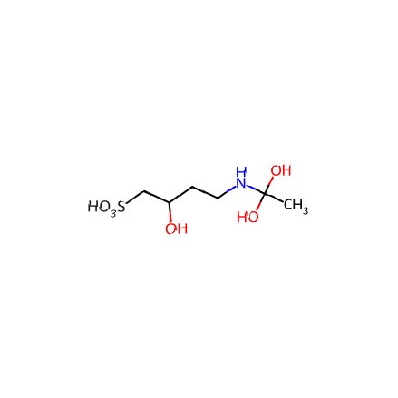 CC(O)(O)NCCC(O)CS(=O)(=O)O